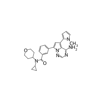 Cn1cccc1-c1cc(-c2cccc(C(=O)N(C3CCOCC3)C3CC3)c2)n2ncnc(N)c12